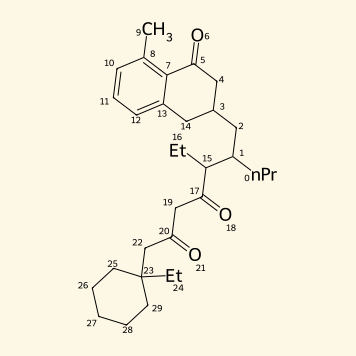 CCCC(CC1CC(=O)c2c(C)cccc2C1)C(CC)C(=O)CC(=O)CC1(CC)CCCCC1